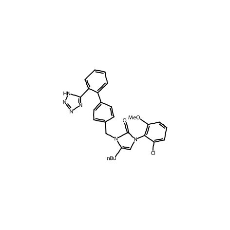 CCCCc1cn(-c2c(Cl)cccc2OC)c(=O)n1Cc1ccc(-c2ccccc2-c2nnn[nH]2)cc1